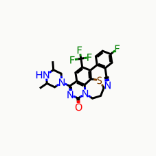 CC1CN(c2nc(=O)n3c4c(c(-c5ccc(F)cc5C#N)c(C(F)(F)F)cc24)SCCC3)CC(C)N1